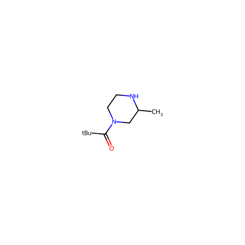 CC1CN(C(=O)C(C)(C)C)CCN1